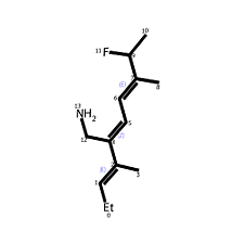 CC/C=C(C)/C(=C/C=C(\C)C(C)F)CN